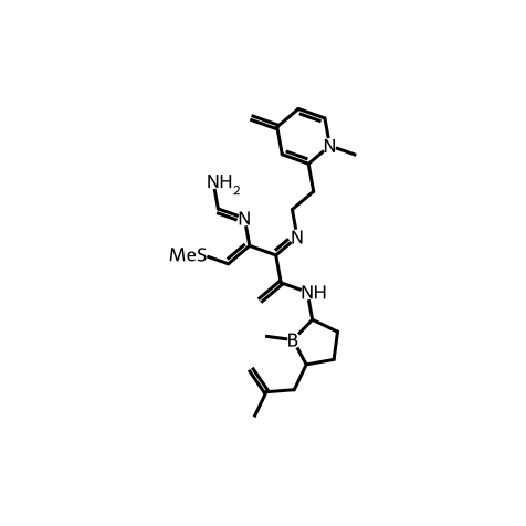 C=C1C=CN(C)C(CC\N=C(C(=C)NC2CCC(CC(=C)C)B2C)/C(=C/SC)/N=C/N)=C1